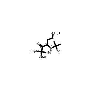 CCCCCCCC(CCCC)(NC)C(=O)C(CCC(=O)O)NC(C)(C)C(C)=O